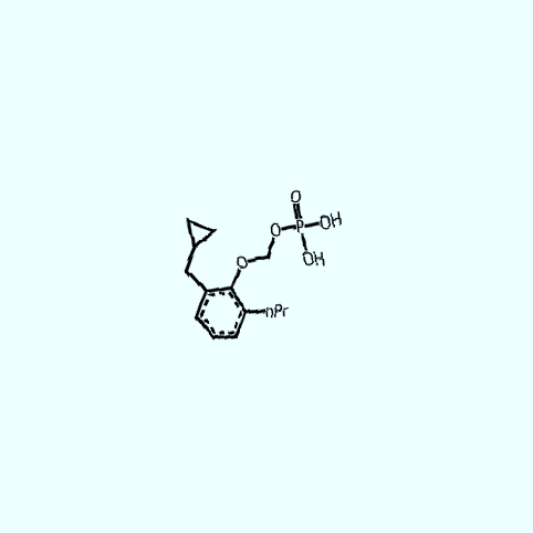 CCCc1cccc(CC2CC2)c1OCOP(=O)(O)O